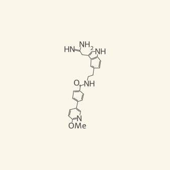 COc1ccc(-c2ccc(C(=O)NCCc3ccc4[nH]cc(CC(=N)N)c4c3)cc2)cn1